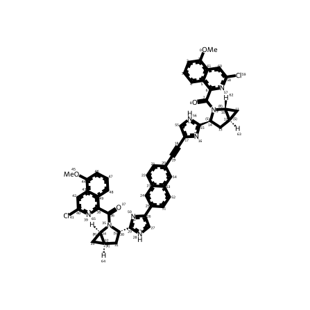 COc1cccc2c(C(=O)N3[C@@H]4C[C@H]4C[C@H]3c3nc(C#Cc4ccc5cc(-c6c[nH]c([C@@H]7C[C@H]8C[C@H]8N7C(=O)c7nc(Cl)cc8c(OC)cccc78)n6)ccc5c4)c[nH]3)nc(Cl)cc12